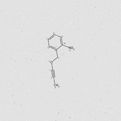 CC#COCc1ccccc1[N+](=O)[O-]